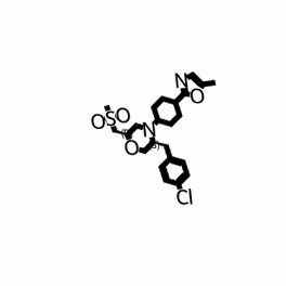 Cc1cnc(C2CCC(N3C[C@H](CS(C)(=O)=O)OC[C@@H]3Cc3ccc(Cl)cc3)CC2)o1